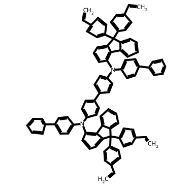 C=Cc1ccc(C2(c3ccc(C=C)cc3)c3ccccc3-c3c(N(c4ccc(-c5ccccc5)cc4)c4ccc(-c5ccc(N(c6ccc(-c7ccccc7)cc6)c6cccc7c6-c6ccccc6C7(c6ccc(C=C)cc6)c6ccc(C=C)cc6)cc5)cc4)cccc32)cc1